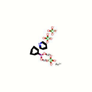 CCCOP(OCCC)c1ccccc1.[Au+3].[O-][Cl+3]([O-])([O-])[O-].[O-][Cl+3]([O-])([O-])[O-].[O-][Cl+3]([O-])([O-])[O-].c1ccncc1